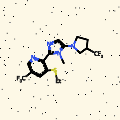 CCSc1cc(C(F)(F)F)cnc1-c1ncc(N2CCC(C(F)(F)F)C2)n1C